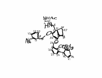 CC(=O)NCCNCc1c(OCc2cccc(C#N)c2)cc(OCc2cccc(-c3ccccc3C)c2C)c2c1CCC2